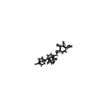 CC12CCC(C34CCC(COc5ccc(O)c(F)c5F)(CC3)C(F)(F)C4(F)F)(CC1)CC2